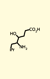 CC(C)CC(N)C(O)CCC(=O)O